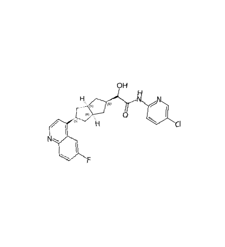 O=C(Nc1ccc(Cl)cn1)C(O)[C@H]1C[C@H]2C[C@@H](c3ccnc4ccc(F)cc34)C[C@H]2C1